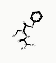 CC(C)C[C@H](NC(=O)[C@H](C)N)C(=O)Oc1ccccc1